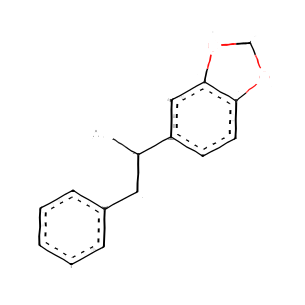 CC(=O)C(Cc1ccccc1)c1ccc2c(c1)OCO2